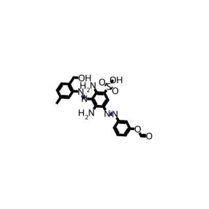 Cc1ccc(CO)c(/N=N/c2c(N)c(/N=N/c3cccc(OC=O)c3)cc(S(=O)(=O)O)c2N)c1